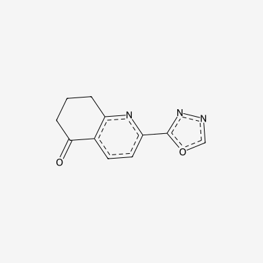 O=C1CCCc2nc(-c3nnco3)ccc21